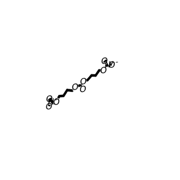 O=C(OCCCCO[N+](=O)[O-])OCCCCO[N+](=O)[O-]